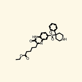 CCOC(=O)CCCCc1nc2cc(S(=O)(=O)C3(c4ccccc4)CCNCC3)ccc2[nH]c1=O